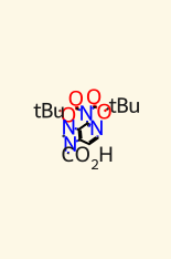 CC(C)(C)OC(=O)N(C(=O)OC(C)(C)C)c1nccc2c1ncn2C(=O)O